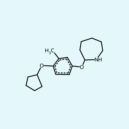 Cc1cc(OC2CCCCCN2)ccc1OC1CCCC1